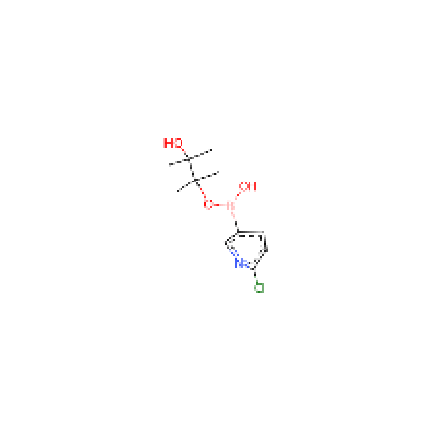 CC(C)(O)C(C)(C)OB(O)c1ccc(Cl)nc1